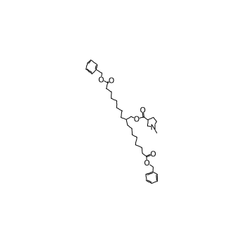 CN1CCC(C(=O)OCC(CCCCCCCC(=O)OCc2ccccc2)CCCCCCCC(=O)OCc2ccccc2)C1